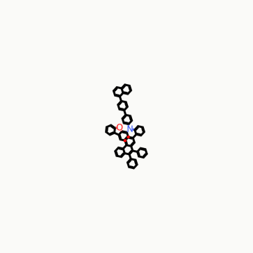 c1ccc(-c2c(-c3ccccc3)c3cc(-c4ccccc4N(c4ccc(-c5ccc(-c6cccc7ccccc67)cc5)cc4)c4cccc5c4oc4ccccc45)ccc3c3ccccc23)cc1